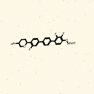 CCCCCOc1ccc(-c2ccc(-c3ccc(C4CCC(CCC)CO4)c(F)c3)cc2)c(F)c1F